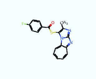 Cc1nc2nc3cccccc3n2c1SC(=O)c1ccc(F)cc1